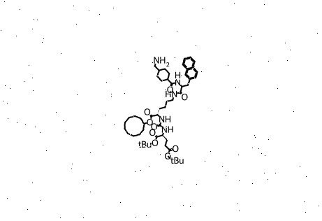 CC(C)(C)OC(=O)CC[C@H](NC(=O)N[C@@H](CCCCNC(=O)C(Cc1ccc2ccccc2c1)NC(=O)C1CCC(CN)CC1)C(=O)OC1CCCCCCCCC1)C(=O)OC(C)(C)C